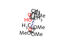 CC[C@H](OC)[C@@H](C)[C@H]1O[C@@H]1[C@H](O)[C@@H](C)/C=C/C=C(\C)[C@@H]1O[C@@H](OC)[C@H](OC)C[C@@H]1OC